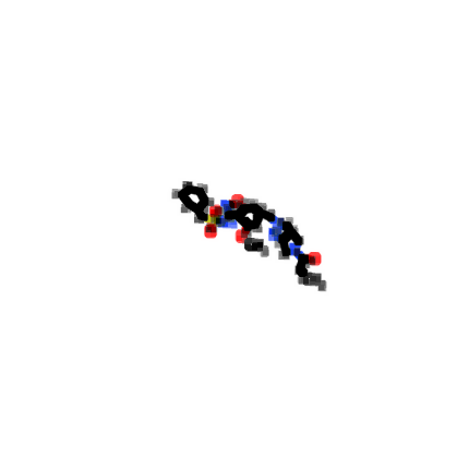 C=CC(=O)N1Cc2cn(Cc3cc(OC)c4c(NS(=O)(=O)CC5CCCCC5)noc4c3)nc2C1